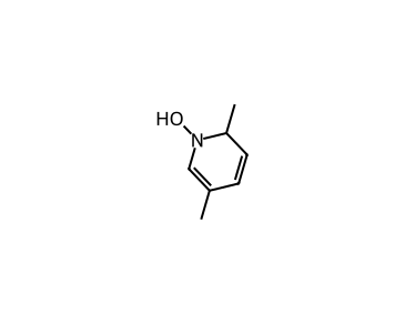 CC1=CN(O)C(C)C=C1